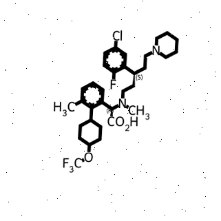 Cc1cccc([C@H](C(=O)O)N(C)CC[C@H](CCN2CCCCC2)c2cc(Cl)ccc2F)c1C1CCC(OC(F)(F)F)CC1